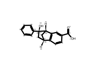 O=C(O)c1ccc2c(c1)[C@@H]1C[C@H]2C[C@]1(O)c1ccccc1